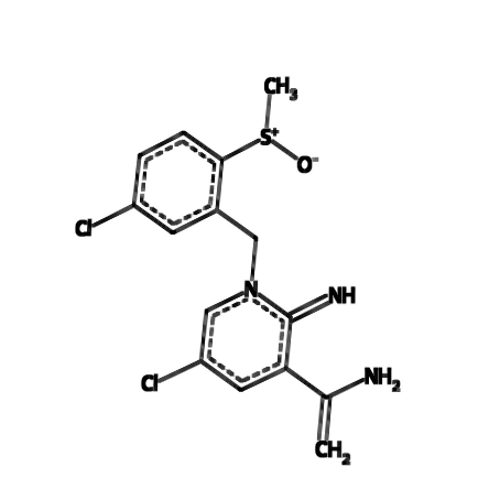 C=C(N)c1cc(Cl)cn(Cc2cc(Cl)ccc2[S+](C)[O-])c1=N